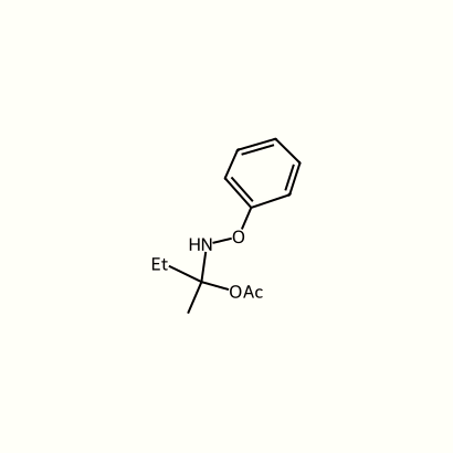 CCC(C)(NOc1ccccc1)OC(C)=O